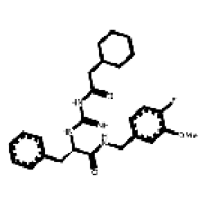 COc1cc(CNC(=O)[C@@H](Cc2ccccc2)NC(=N)NC(=O)CC2CCCCC2)ccc1F